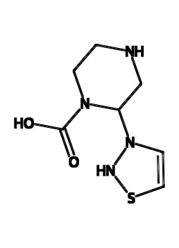 O=C(O)N1CCNCC1N1C=CSN1